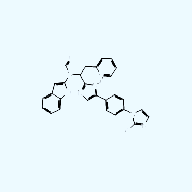 Cc1nccn1-c1ccc(-c2cnc(C(Cc3ccccn3)N(C=O)c3cc4ccccc4o3)n2C)cc1